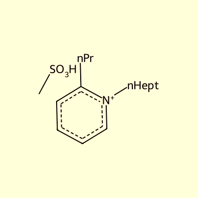 CCCCCCC[n+]1ccccc1CCC.CS(=O)(=O)O